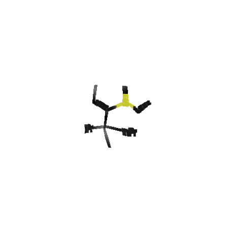 C=CS(=C)/C(=C\C)C(C)(CCC)C(C)C